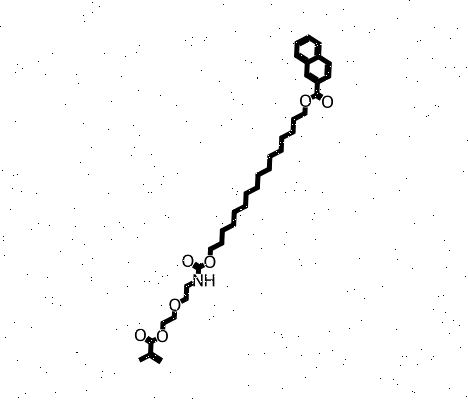 C=C(C)C(=O)OCCOCCNC(=O)OCCCCCCCCCCCCCCCCOC(=O)c1ccc2ccccc2c1